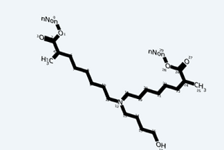 CCCCCCCCCOC(=O)C(C)CCCCCCN(CCCCO)CCCCCCC(C)C(=O)OCCCCCCCCC